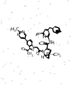 CC(=O)c1nn(CC(=O)N2C(C(=O)Nc3cc(Cc4ccccc4)cc(Br)n3)C[C@@]3(C)C[C@@H]23)c2ccc(-c3cnc(C)nc3)cc12